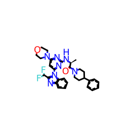 C[C@H](Nc1nc(N2CCOCC2)cc(-n2c(C(F)F)nc3ccccc32)n1)C(=O)N1CCC(c2ccccc2)CC1